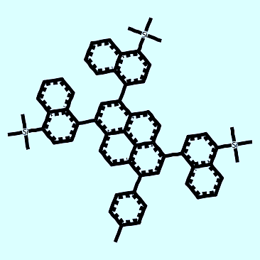 Cc1ccc(-c2cc(-c3ccc([Si](C)(C)C)c4ccccc34)c3ccc4c(-c5ccc([Si](C)(C)C)c6ccccc56)cc(-c5ccc([Si](C)(C)C)c6ccccc56)c5ccc2c3c54)cc1